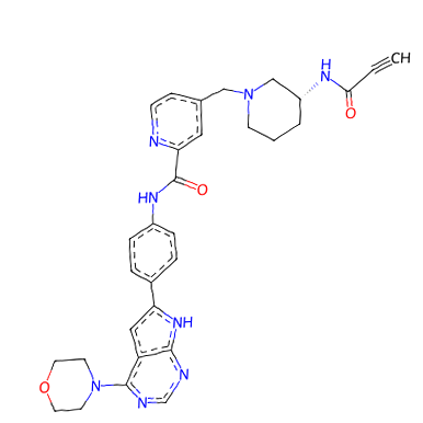 C#CC(=O)N[C@@H]1CCCN(Cc2ccnc(C(=O)Nc3ccc(-c4cc5c(N6CCOCC6)ncnc5[nH]4)cc3)c2)C1